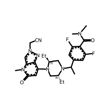 CC[C@H]1CN(C(C)c2cc(F)c(C(=O)N(C)C)c(F)c2)[C@H](CC)CN1c1cc(=O)n(C)c2cn(CC#N)nc12